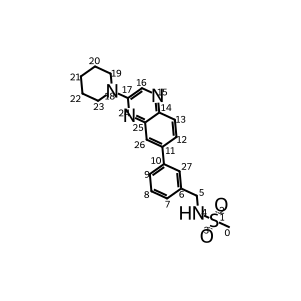 CS(=O)(=O)NCc1cccc(-c2ccc3ncc(N4CCCCC4)nc3c2)c1